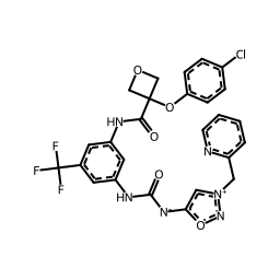 O=C([N-]c1c[n+](Cc2ccccn2)no1)Nc1cc(NC(=O)C2(Oc3ccc(Cl)cc3)COC2)cc(C(F)(F)F)c1